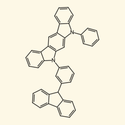 c1ccc(-n2c3ccccc3c3cc4c5ccccc5n(-c5cccc(C6c7ccccc7-c7ccccc76)c5)c4cc32)cc1